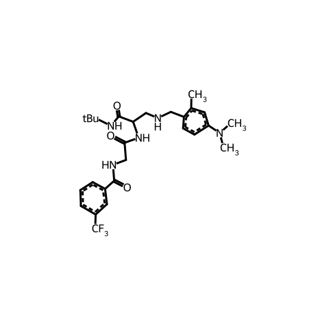 Cc1cc(N(C)C)ccc1CNCC(NC(=O)CNC(=O)c1cccc(C(F)(F)F)c1)C(=O)NC(C)(C)C